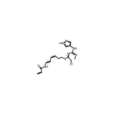 C=CC(=O)N/C=C/C=C\CCS/C(CCl)=N/C(=N\C)Nc1cnn(C)c1